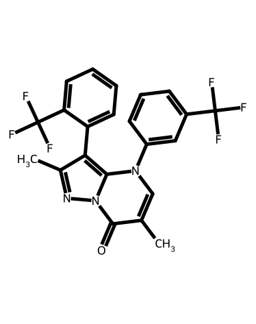 Cc1nn2c(=O)c(C)cn(-c3cccc(C(F)(F)F)c3)c2c1-c1ccccc1C(F)(F)F